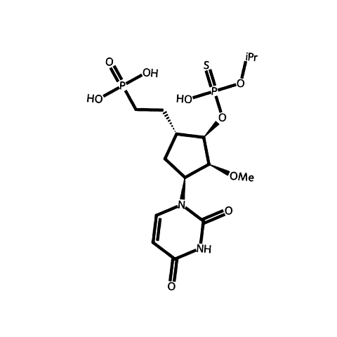 CO[C@@H]1[C@H](OP(O)(=S)OC(C)C)[C@@H](CCP(=O)(O)O)C[C@@H]1n1ccc(=O)[nH]c1=O